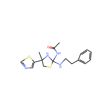 CC(=O)NC1(NCCc2ccccc2)NC(C)(c2cncs2)CS1